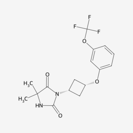 CC1(C)NC(=O)N([C@H]2C[C@@H](Oc3cccc(OC(F)(F)F)c3)C2)C1=O